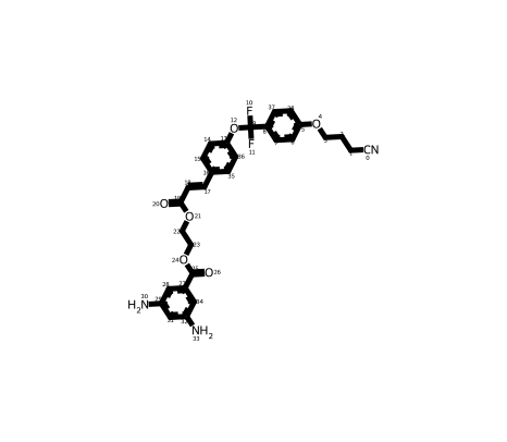 N#CCCCOc1ccc(C(F)(F)Oc2ccc(C=CC(=O)OCCOC(=O)c3cc(N)cc(N)c3)cc2)cc1